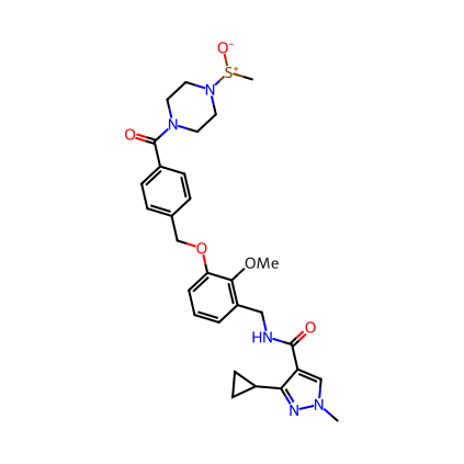 COc1c(CNC(=O)c2cn(C)nc2C2CC2)cccc1OCc1ccc(C(=O)N2CCN([S+](C)[O-])CC2)cc1